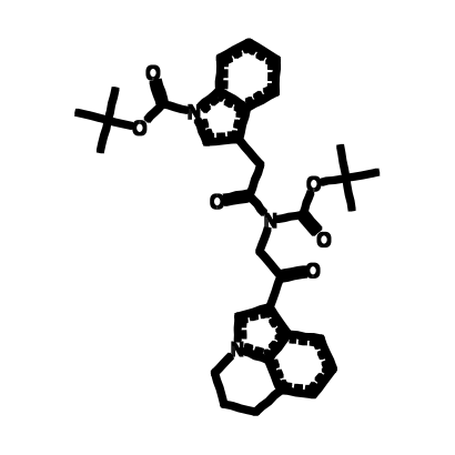 CC(C)(C)OC(=O)N(CC(=O)c1cn2c3c(cccc13)CCC2)C(=O)Cc1cn(C(=O)OC(C)(C)C)c2ccccc12